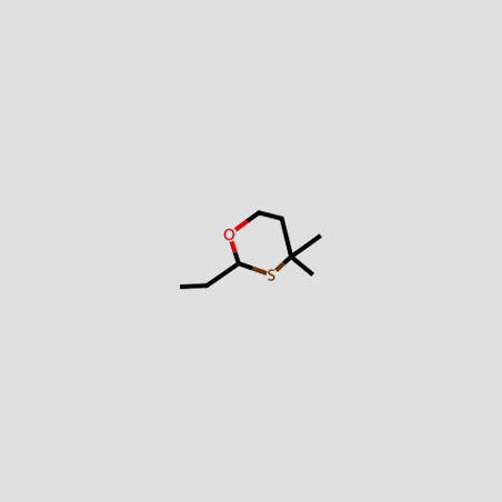 CCC1OCCC(C)(C)S1